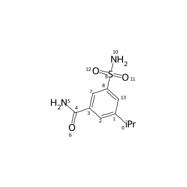 CC(C)c1cc(C(N)=O)cc(S(N)(=O)=O)c1